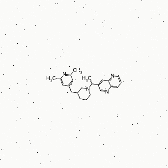 Cc1cc(CC2CCCN([C@@H](C)c3cnc4cccnc4c3)C2)cc(C)n1